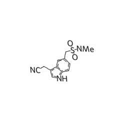 CNS(=O)(=O)Cc1ccc2[nH]cc(CC#N)c2c1